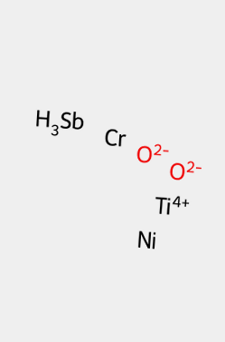 [Cr].[Ni].[O-2].[O-2].[SbH3].[Ti+4]